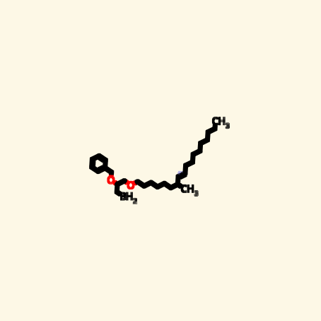 BCC(COCCCCCCC(C)/C=C/CCCCCCCCC)OCc1ccccc1